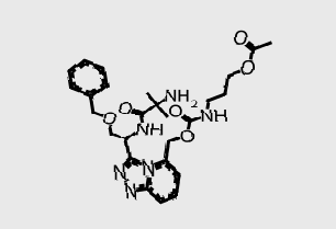 CC(=O)OCCCNC(=O)OCc1cccc2nnc([C@@H](COCc3ccccc3)NC(=O)C(C)(C)N)n12